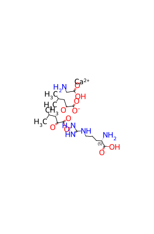 CC(C)CC(=O)C(=O)[O-].CC(C)CC(=O)C(=O)[O-].N=C(N)NCCC[C@H](N)C(=O)O.NCC(=O)O.[Ca+2]